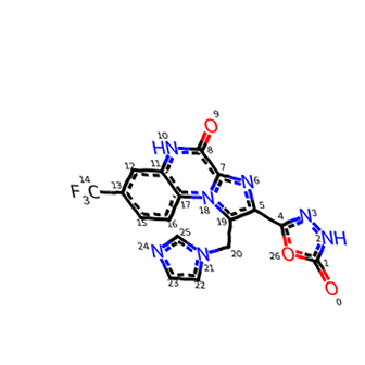 O=c1[nH]nc(-c2nc3c(=O)[nH]c4cc(C(F)(F)F)ccc4n3c2Cn2ccnc2)o1